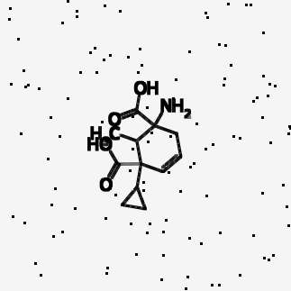 CC1C(N)(C(=O)O)CC=CC1(C(=O)O)C1CC1